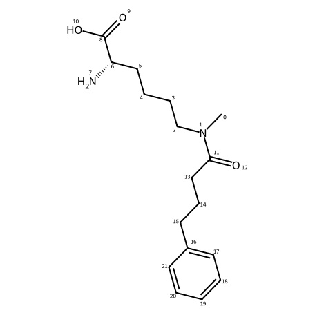 CN(CCCC[C@H](N)C(=O)O)C(=O)CCCc1ccccc1